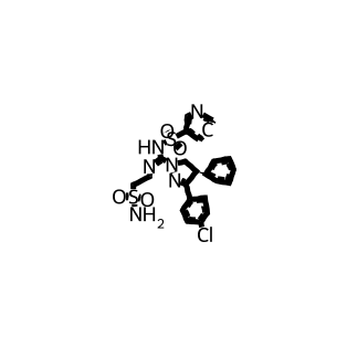 NS(=O)(=O)CCN=C(NS(=O)(=O)c1cccnc1)N1C[C@H](c2ccccc2)C(c2ccc(Cl)cc2)=N1